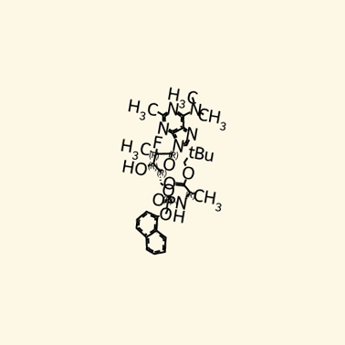 Cc1nc(N(C)C)c2ncn([C@@H]3O[C@H](CO[P@](=O)(N[C@H](C)C(=O)OCC(C)(C)C)Oc4cccc5ccccc45)[C@@H](O)[C@@]3(C)F)c2n1